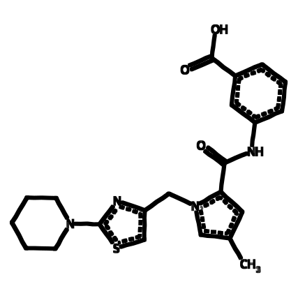 Cc1cc(C(=O)Nc2cccc(C(=O)O)c2)n(Cc2csc(N3CCCCC3)n2)c1